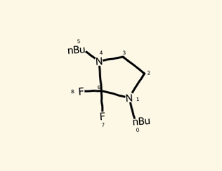 CCCCN1CCN(CCCC)C1(F)F